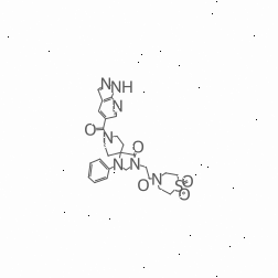 O=C(CN1CN(c2ccccc2)C2(CCN(C(=O)c3cnc4[nH]ncc4c3)CC2)C1=O)N1CCS(=O)(=O)CC1